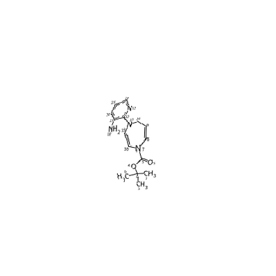 CC(C)(C)OC(=O)N1C=CCN(c2ncccc2N)C=C1